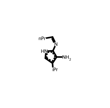 CCC/C=N\c1[nH]cc(C(C)C)c1N